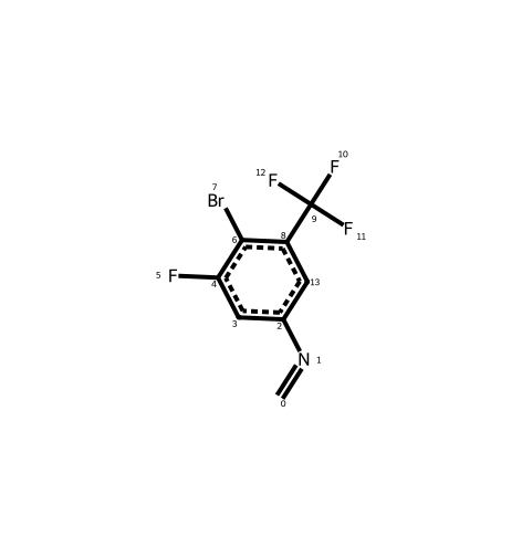 C=Nc1cc(F)c(Br)c(C(F)(F)F)c1